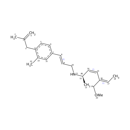 C=C(C)Cc1ccc(/C=C/CN[C@H](C)/C=C\C(=C/C)COC)cc1C